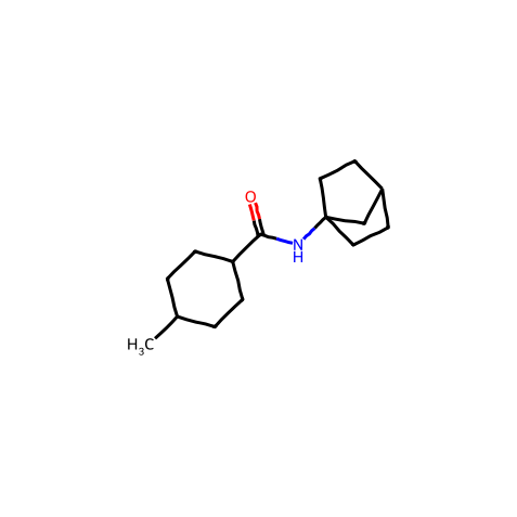 CC1CCC(C(=O)NC23CCC(CC2)C3)CC1